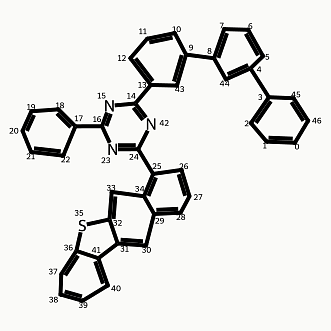 c1ccc(-c2cccc(-c3cccc(-c4nc(-c5ccccc5)nc(-c5cccc6cc7c(cc56)sc5ccccc57)n4)c3)c2)cc1